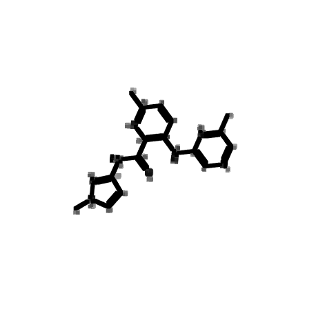 Cc1cncc(Nc2ccc(C)nc2C(=O)Nc2ccn(C)n2)n1